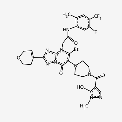 CCc1c(N2CCN(C(=O)c3cnn(C)c3O)CC2)c(=O)n2nc(C3=CCOCC3)nc2n1CC(=O)Nc1cc(F)c(C(F)(F)F)cc1C